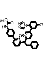 COC(=O)Nc1ccc(-c2cccc(C(Cc3ccccc3)c3ccc(-c4cc(Cl)ccc4-n4cnnn4)c[n+]3[O-])n2)cc1